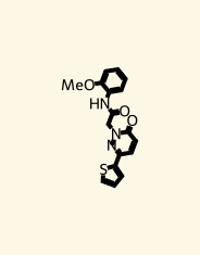 COc1ccccc1NC(=O)Cn1nc(-c2cccs2)ccc1=O